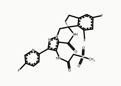 CS(=O)(=O)CC(=O)Nc1c(-c2ccc(F)cn2)nn2c1C(=O)N[C@@]1(CCc3cc(F)cc(F)c31)C2